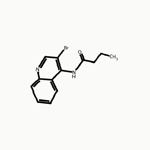 CCCC(=O)Nc1c(Br)cnc2ccccc12